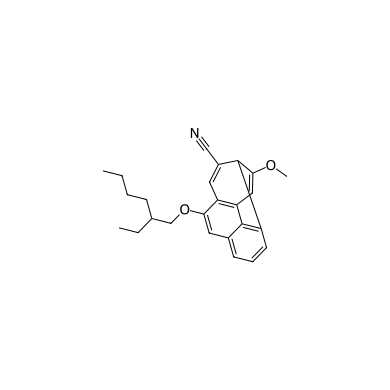 CCCCC(CC)COc1cc2cccc3c2c2c1C=C(C#N)C3C(OC)=C2